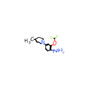 CC1CCN(c2ccc(N)c(OC(F)F)c2)CC1